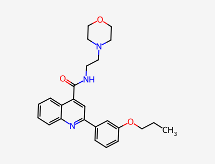 CCCOc1cccc(-c2cc(C(=O)NCCN3CCOCC3)c3ccccc3n2)c1